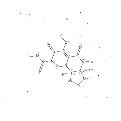 COC(=O)c1cn2c(c(OC)c1=O)C(=O)N(C)[C@H]1OCC[C@H]12